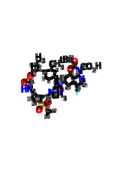 Cc1cc2ccc1[C@@H](C)COC(=O)Nc1ccc(S(=O)(=O)C3CC3)c(c1)CN(C)C(=O)[C@@H]2Nc1ccc2c(N(C(=O)O)C(=O)OC(C)(C)C)ncc(F)c2c1